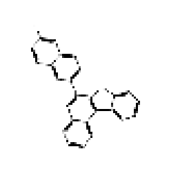 Brc1ccc2cc(-c3cc4ccccc4c4c3sc3ccccc34)ccc2c1